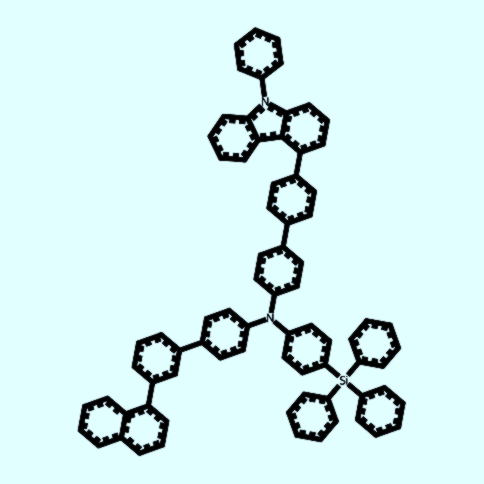 c1ccc(-n2c3ccccc3c3c(-c4ccc(-c5ccc(N(c6ccc(-c7cccc(-c8cccc9ccccc89)c7)cc6)c6ccc([Si](c7ccccc7)(c7ccccc7)c7ccccc7)cc6)cc5)cc4)cccc32)cc1